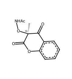 CC(=O)NO[C@]1(C)C(=O)Oc2ccccc2C1=O